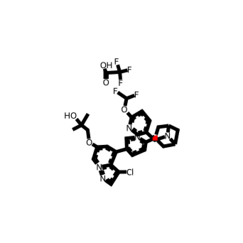 CC(C)(O)COc1cc(-c2ccc(N3CC4CC(C3)N4Cc3ccc(OC(F)F)nc3)nc2)c2c(Cl)cnn2c1.O=C(O)C(F)(F)F